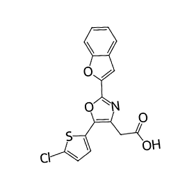 O=C(O)Cc1nc(-c2cc3ccccc3o2)oc1-c1ccc(Cl)s1